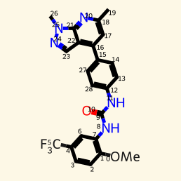 COc1ccc(C(F)(F)F)cc1NC(=O)Nc1ccc(-c2cc(C)nc3c2cnn3C)cc1